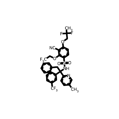 Cc1ccc(C(Cc2ccccc2)(NS(=O)(=O)c2ccc(OCC(C)(F)F)c(C#N)c2OCC(F)(F)F)c2cccc(C(F)(F)F)c2)nc1